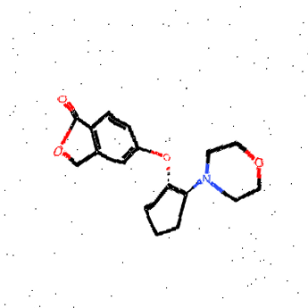 O=C1OCc2cc(O[C@H]3CCC[C@@H]3N3CCOCC3)ccc21